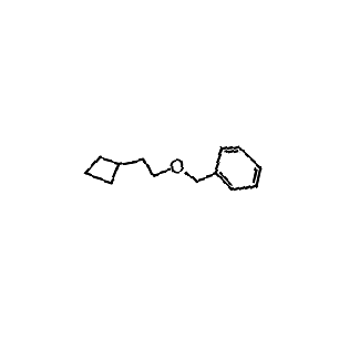 c1ccc(COCCC2CCC2)cc1